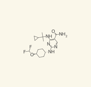 CC(C)(Nc1nc(N[C@H]2CC[C@H](OC(F)F)CC2)ncc1C(N)=O)C1CC1